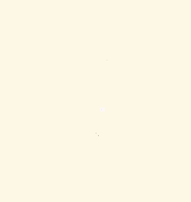 CC(C)(C)N1CCC[C@H]1/C=C/c1ccc(CBr)cc1